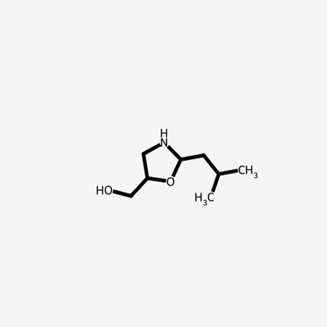 CC(C)CC1NCC(CO)O1